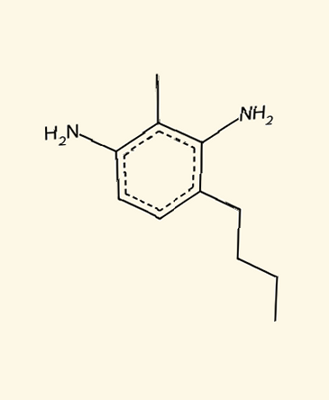 CCCCc1ccc(N)c(C)c1N